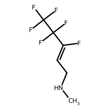 CNC/C=C(\F)C(F)(F)C(F)(F)F